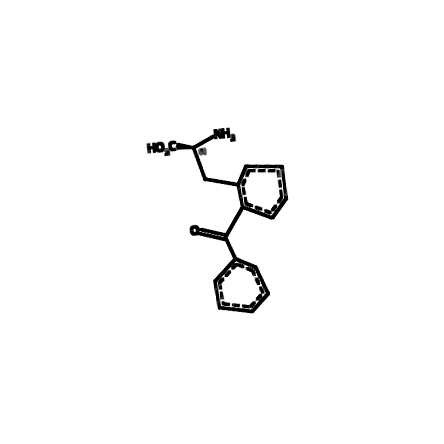 N[C@@H](Cc1ccccc1C(=O)c1ccccc1)C(=O)O